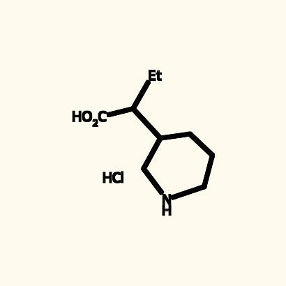 CCC(C(=O)O)C1CCCNC1.Cl